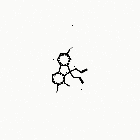 C=CCC1(CC=C)c2cc(Br)ccc2-c2ccc(Br)c(C)c21